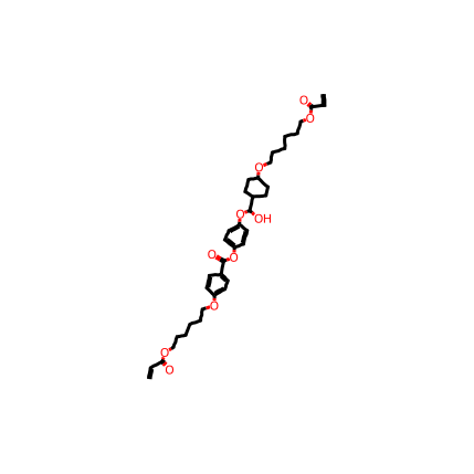 C=CC(=O)OCCCCCCOc1ccc(C(=O)Oc2ccc(OC(O)C3CCC(OCCCCCCOC(=O)C=C)CC3)cc2)cc1